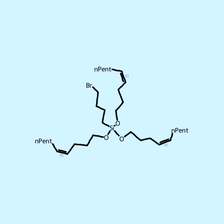 CCCCC/C=C\CCCO[Si](CCCCBr)(OCCC/C=C\CCCCC)OCCC/C=C\CCCCC